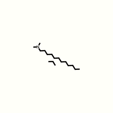 CCC.CCCCCCCCCCCCN(C)C